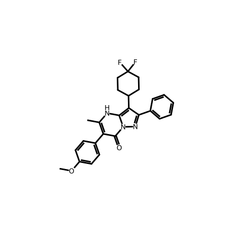 COc1ccc(-c2c(C)[nH]c3c(C4CCC(F)(F)CC4)c(-c4ccccc4)nn3c2=O)cc1